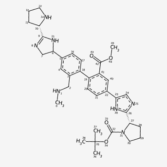 CNCc1cc(C2CN=C([C@@H]3CCCN3)N2)ccc1-c1ccc(-c2cnc([C@@H]3CCCN3C(=O)OC(C)(C)C)[nH]2)cc1C(=O)OC